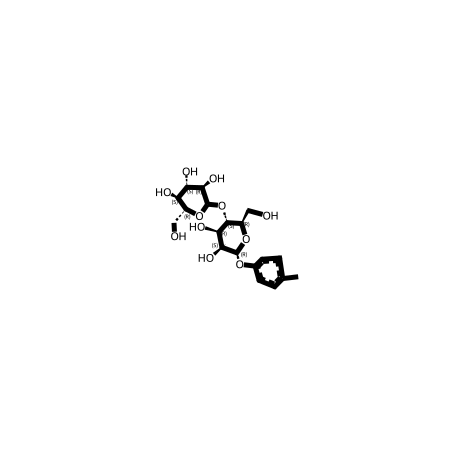 Cc1ccc(O[C@H]2O[C@H](CO)[C@@H](OC3O[C@H](CO)[C@@H](O)[C@H](O)[C@H]3O)[C@H](O)[C@@H]2O)cc1